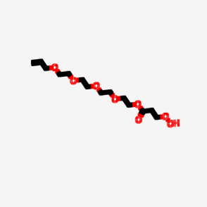 C=CCOCCOCCOCCOCCOC(=O)CCOO